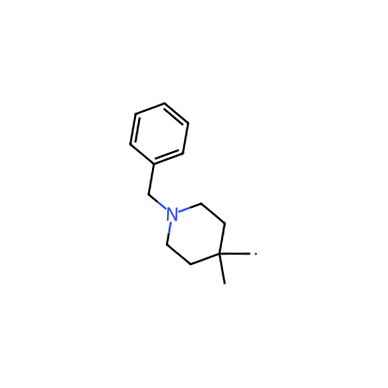 [CH2]C1(C)CCN(Cc2ccccc2)CC1